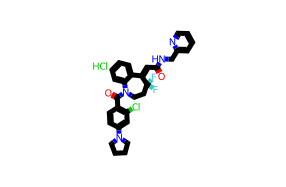 Cl.O=C(C=C1c2ccccc2N(C(=O)c2ccc(N3CCCC3)cc2Cl)CCC1(F)F)NCc1ccccn1